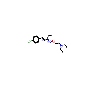 CCC(/C=C/c1ccc(Cl)cc1)=N\OCCN(CC)CC